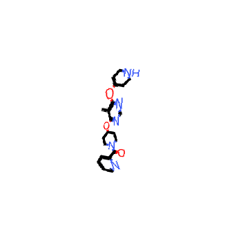 Cc1c(OC2CCNCC2)ncnc1OC1CCN(C(=O)c2ccccn2)CC1